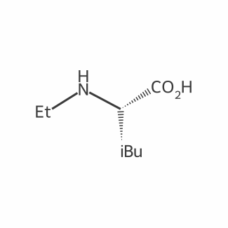 CCN[C@H](C(=O)O)[C@@H](C)CC